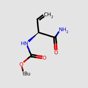 C=C[C@H](NC(=O)OC(C)(C)C)C(N)=O